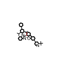 Cc1ccc2c(oc3cc(-c4ccnc(C(C)(C)C)c4)ccc32)c1-c1n(-c2c(C(C)C)cc(-c3ccccc3)cc2C(C)C)c2ccccc2[n+]1C